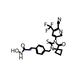 N#Cc1ncc(N2C(=O)C3(CCC3)N(Cc3ccc(/C=C/C(=O)NO)cc3)C2=S)cc1C(F)(F)F